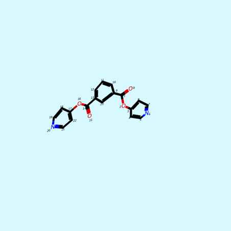 O=C(Oc1ccncc1)c1cccc(C(=O)Oc2ccncc2)c1